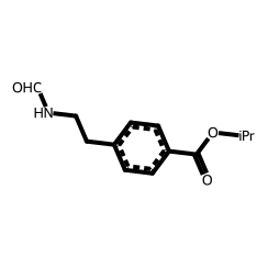 CC(C)OC(=O)c1ccc(CCNC=O)cc1